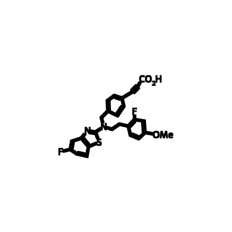 COc1ccc(CCN(Cc2ccc(C#CC(=O)O)cc2)c2nc3cc(F)ccc3s2)c(F)c1